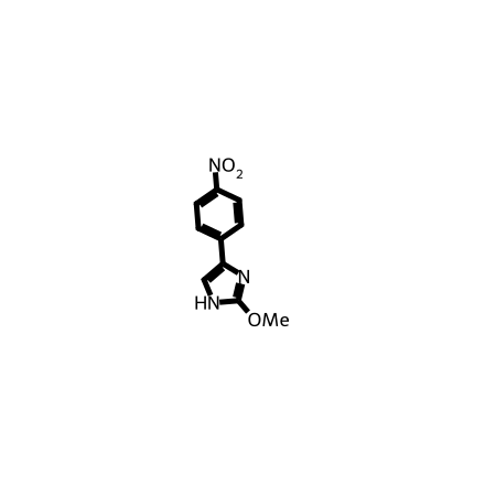 COc1nc(-c2ccc([N+](=O)[O-])cc2)c[nH]1